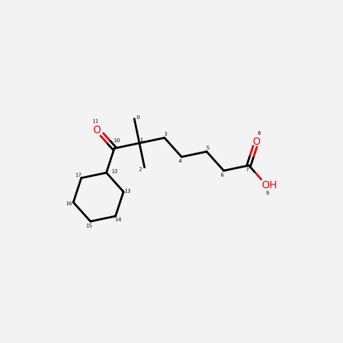 CC(C)(CCCCC(=O)O)C(=O)C1CCCCC1